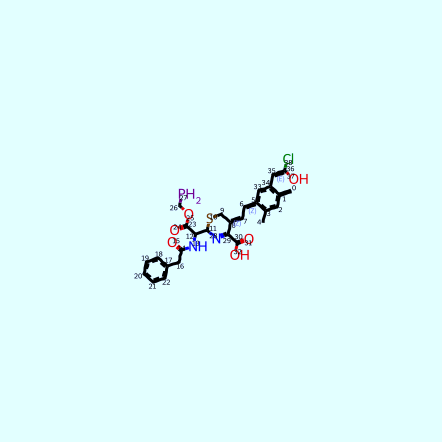 C=c1cc(C)/c(=C\C=C2/CSC(C(NC(=O)Cc3ccccc3)C(=O)OCP)N=C2C(=O)O)cc1/C=C(\O)Cl